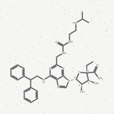 CC[C@]1(C(N)=O)O[C@@H](n2cnc3c(NCC(c4ccccc4)c4ccccc4)nc(CNC(=O)NCCNC(C)C)nc32)[C@H](O)[C@@H]1O